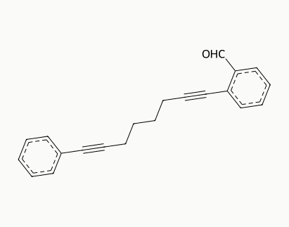 O=Cc1ccccc1C#CCCCCC#Cc1ccccc1